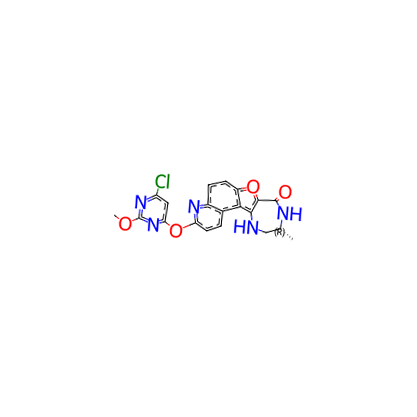 COc1nc(Cl)cc(Oc2ccc3c(ccc4oc5c(c43)NC[C@@H](C)NC5=O)n2)n1